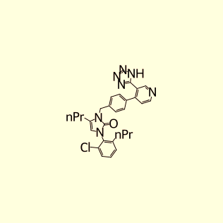 CCCc1cccc(Cl)c1-n1cc(CCC)n(Cc2ccc(-c3ccncc3-c3nnn[nH]3)cc2)c1=O